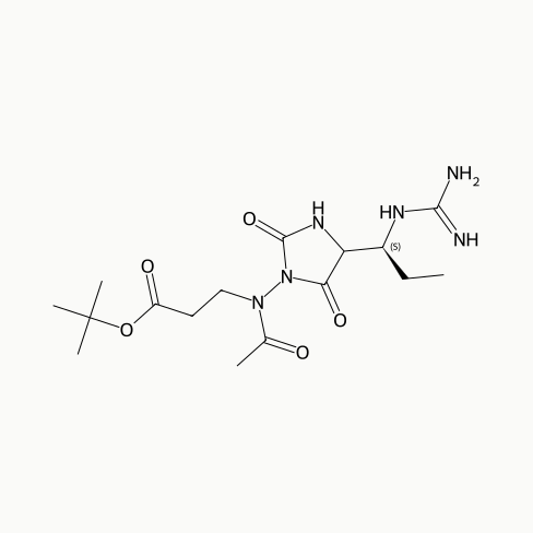 CC[C@H](NC(=N)N)C1NC(=O)N(N(CCC(=O)OC(C)(C)C)C(C)=O)C1=O